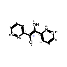 O/C(=C(/O)c1cccnn1)c1cccnn1